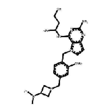 CCCC(CCO)Nc1nc(N)nc2ccn(Cc3ccc(CN4CC(N(C)C(C)C)C4)cc3OC)c12